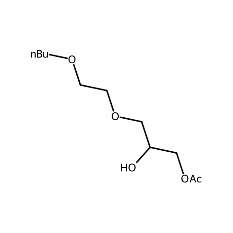 CCCCOCCOCC(O)COC(C)=O